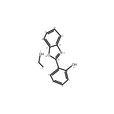 CCO.Oc1ccccc1-c1nc2ccccc2o1